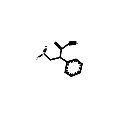 C=C(C#N)C(C[N+](=O)[O-])c1ccccc1